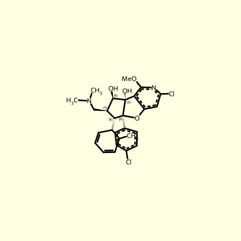 COc1nc(Cl)cc2c1[C@]1(O)[C@H](O)[C@H](CN(C)C)[C@@H](C3C=CC=CC3C)[C@]1(c1ccc(Cl)cc1)O2